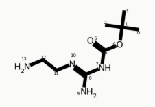 CC(C)(C)OC(=O)NC(N)=NCCN